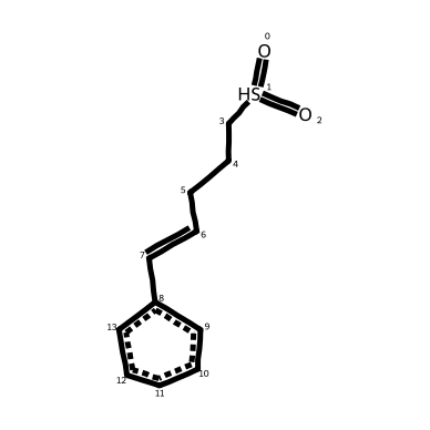 O=[SH](=O)CCCC=Cc1ccccc1